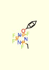 CCP1(F)=NP(F)(F)=NP(F)(OC2C3=C4CC4=C32)=N1